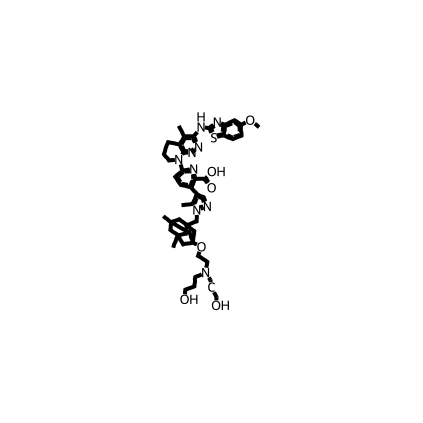 COc1ccc2sc(Nc3nnc4c(c3C)CCCN4c3ccc(-c4cnn(CC56CC7(C)CC(C)(C5)CC(OCCN(CCCO)CCCO)(C7)C6)c4C)c(C(=O)O)n3)nc2c1